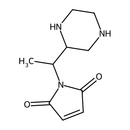 CC(C1CNCCN1)N1C(=O)C=CC1=O